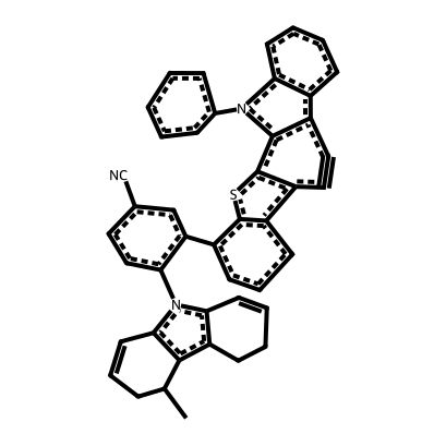 CC1CC=Cc2c1c1c(n2-c2ccc(C#N)cc2-c2cccc3c2sc2c3c#cc3c4ccccc4n(-c4ccccc4)c32)C=CCC1